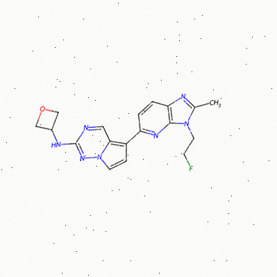 Cc1nc2ccc(-c3ccn4nc(NC5COC5)ncc34)nc2n1CCF